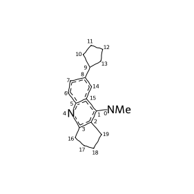 CNc1c2c(nc3ccc(C4CCCC4)cc13)CCCC2